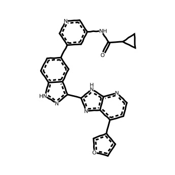 O=C(Nc1cncc(-c2ccc3[nH]nc(-c4nc5c(-c6ccoc6)ccnc5[nH]4)c3c2)c1)C1CC1